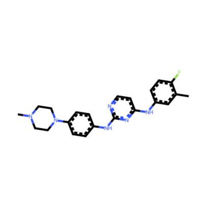 Cc1cc(Nc2ccnc(Nc3ccc(N4CCN(C)CC4)cc3)n2)ccc1F